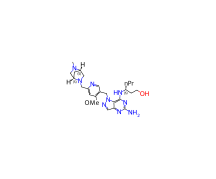 CCC[C@@H](CCO)Nc1nc(N)nc2cnn(Cc3cnc(CN4C[C@@H]5C[C@H]4CN5C)cc3OC)c12